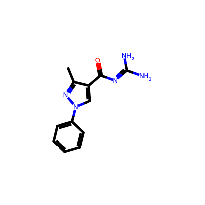 Cc1nn(-c2ccccc2)cc1C(=O)N=C(N)N